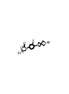 CC[C@H]1CN(c2ccc(N3CC4(C3)C[S+]([O-])C4)c(F)c2)C(=O)O1